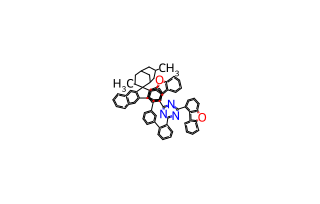 CC1CC2CC(C)C3(c4cc5ccccc5cc4-c4c(-c5cccc(-c6ccccc6-c6nc(-c7cccc8oc9ccccc9c78)nc(-c7cccc8oc9ccccc9c78)n6)c5)cccc43)C(C1)C2